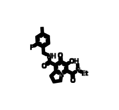 CCN(C)C(=O)c1c(O)c(=O)c(C(=O)NCc2ccc(C)cc2F)c2n1CCC2